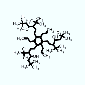 C=CCc1c(CCC(C(O)CC(C)(C)C)C(C)(C)C)c(CC=C)c(CCC(C(O)CC(C)(C)C)C(C)(C)C)c(CC=C)c1CCC(C(O)CC(C)(C)C)C(C)(C)C